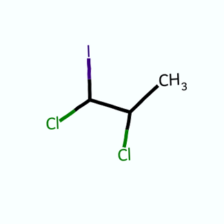 CC(Cl)C(Cl)I